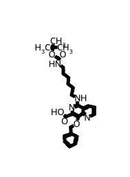 CC(C)(C)OC(=O)NCCCCCCNc1nc(C(=O)O)c(OCc2ccccc2)c2ncccc12